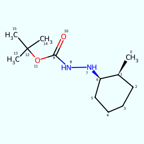 C[C@H]1CCCC[C@H]1NNC(=O)OC(C)(C)C